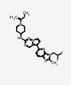 C=C(CC)N1CCC(Nc2ncc3c(-c4ccc5nc(C)n(CC(F)F)c5n4)ccn3n2)CC1